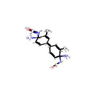 CC1=CC(=C2C=CC(N)(N=C=O)C(C)=C2)C=CC1(N)N=C=O